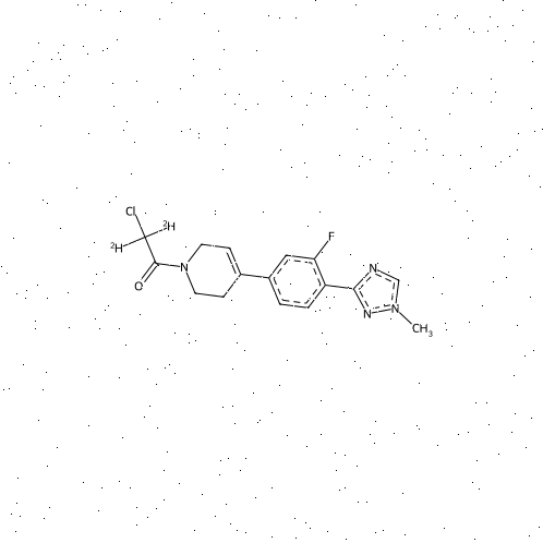 [2H]C([2H])(Cl)C(=O)N1CC=C(c2ccc(-c3ncn(C)n3)c(F)c2)CC1